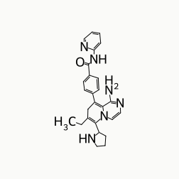 CCC1=C(C2CCCN2)N2C=CN=C(N)C2=C(c2ccc(C(=O)Nc3ccccn3)cc2)C1